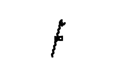 CCCCCCCCCCCCCCCCN(CC)CC.Cl